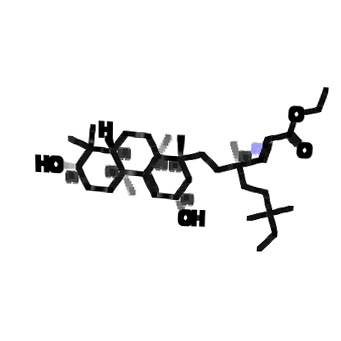 CCOC(=O)/C=C/[C@@](C)(CCC(C)(C)CC)CC[C@]1(C)C[C@H](O)C=C2[C@@]3(C)CC[C@H](O)C(C)(C)[C@@H]3CC[C@]21C